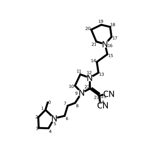 CC1CCCN1CCCN1CCN(CCCN2CCCCC2)C1=C(C#N)C#N